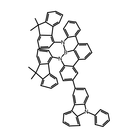 CC1(C)c2ccccc2-c2c(N3B4c5c(cccc5-c5cc(-c6ccc7c(c6)c6ccccc6n7-c6ccccc6)ccc5N4c4cccc5c4-c4ccccc4C5(C)C)-c4ccccc43)cccc21